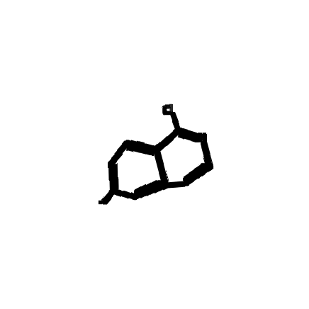 [CH2]c1ccc2c(Cl)nccc2c1